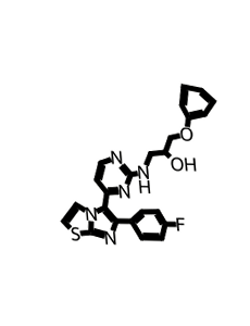 OC(CNc1nccc(-c2c(-c3ccc(F)cc3)nc3sccn23)n1)COc1ccccc1